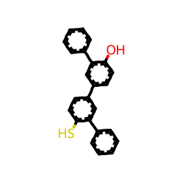 Oc1ccc(-c2ccc(S)c(-c3ccccc3)c2)cc1-c1ccccc1